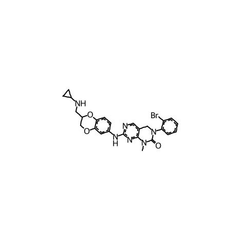 CN1C(=O)N(c2ccccc2Br)Cc2cnc(Nc3ccc4c(c3)OCC(CNC3CC3)O4)nc21